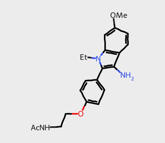 CCn1c(-c2ccc(OCCNC(C)=O)cc2)c(N)c2ccc(OC)cc21